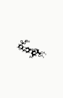 C=C(C)c1cnc2c(NC3CCN(C[C@@H]4CN(C(=O)OC(C)(C)C)CCO4)CC3)cc(C(C)=O)cn12